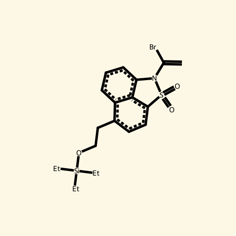 C=C(Br)N1c2cccc3c(CCO[Si](CC)(CC)CC)ccc(c23)S1(=O)=O